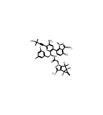 C=C1[C@@H]2c3c(C(F)(F)F)nn(CC(=O)N[C@@H](Cc4cc(F)cc(F)c4)c4nc(C#CC(C)(C)O)c(N)cc4-c4ccc(Cl)c5c(N)nn(C)c45)c3C(F)(F)[C@H]12